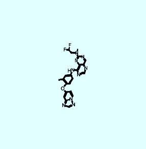 Cc1cc(Nc2ncnc3cnc(N(C)CC(F)F)nc23)ccc1Oc1ccn2ncnc2c1